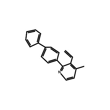 C=Cc1c(C)ccnc1-c1ccc(-c2ccccc2)cc1